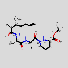 C=CCC[C@@H](OC)[C@@H](C)C(=O)N[C@H](C(=O)N[C@@H](C)C(=O)N1CCC[C@@H](C(=O)OCC(Cl)(Cl)Cl)N1)C(C)C